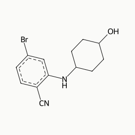 N#Cc1ccc(Br)cc1NC1CCC(O)CC1